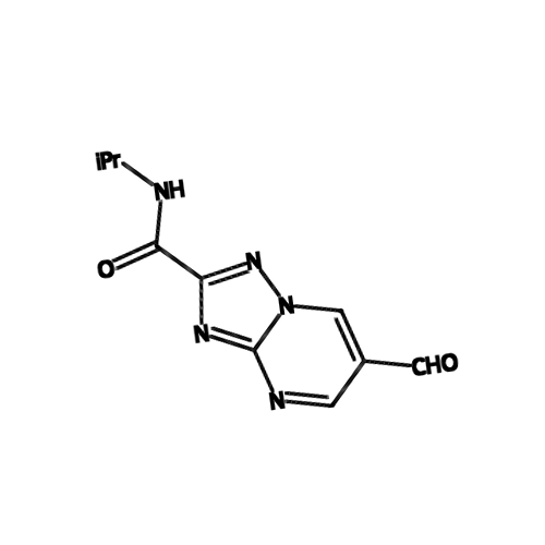 CC(C)NC(=O)c1nc2ncc(C=O)cn2n1